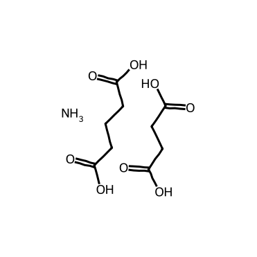 N.O=C(O)CCC(=O)O.O=C(O)CCCC(=O)O